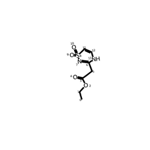 CCOC(=O)CC1=NS(=O)(=O)C=CN1